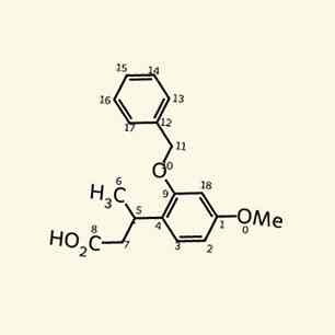 COc1ccc([C](C)CC(=O)O)c(OCc2ccccc2)c1